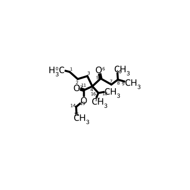 CCCCC(C(=O)CC(C)C)(C(=O)OCC)C(C)C